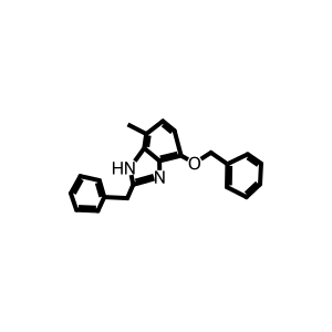 Cc1ccc(OCc2ccccc2)c2nc(Cc3ccccc3)[nH]c12